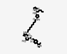 CCCc1cc(N[C@@H]2CC[C@@H](NC(=O)CCCCCCCCCNC(C(=O)N3C[C@H](O)C[C@H]3C(=O)NCc3ccc(-c4scnc4C)cc3)C(C)(C)C)C2)n2nccc2n1